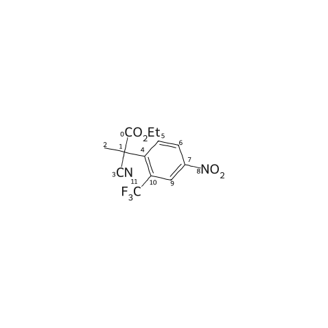 CCOC(=O)C(C)(C#N)c1ccc([N+](=O)[O-])cc1C(F)(F)F